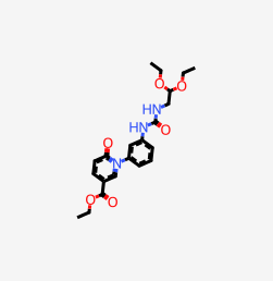 CCOC(=O)c1ccc(=O)n(-c2cccc(NC(=O)NCC(OCC)OCC)c2)c1